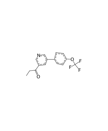 CCC(=O)c1cncc(-c2ccc(OC(F)(F)F)cc2)c1